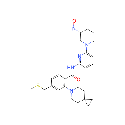 CSCc1ccc(C(=O)Nc2cccc(N3CCCC(N=O)C3)n2)c(N2CCC3(CC2)CC3)c1